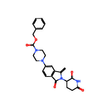 C=C1c2cc(N3CCN(C(=O)OCc4ccccc4)CC3)ccc2C(=O)N1C1CCC(=O)NC1=O